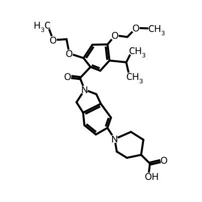 COCOc1cc(OCOC)c(C(C)C)cc1C(=O)N1Cc2ccc(N3CCC(C(=O)O)CC3)cc2C1